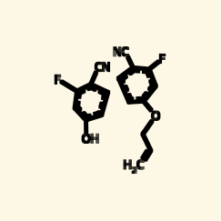 C=CCOc1ccc(C#N)c(F)c1.N#Cc1ccc(O)cc1F